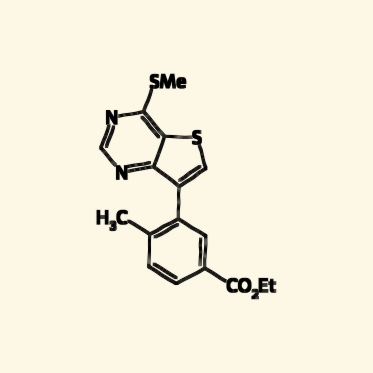 CCOC(=O)c1ccc(C)c(-c2csc3c(SC)ncnc23)c1